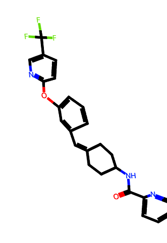 O=C(NC1CCC(=Cc2cccc(Oc3ccc(C(F)(F)F)cn3)c2)CC1)c1ccccn1